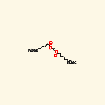 CCCCCCCCCCCCCCCC(=O)O[CH]COC(=O)CCCCCCCCCCCCCCC